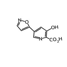 O=C(O)c1ncc(-c2ccno2)cc1O